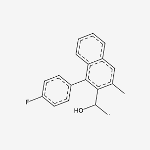 [CH2]C(O)c1c(C)cc2ccccc2c1-c1ccc(F)cc1